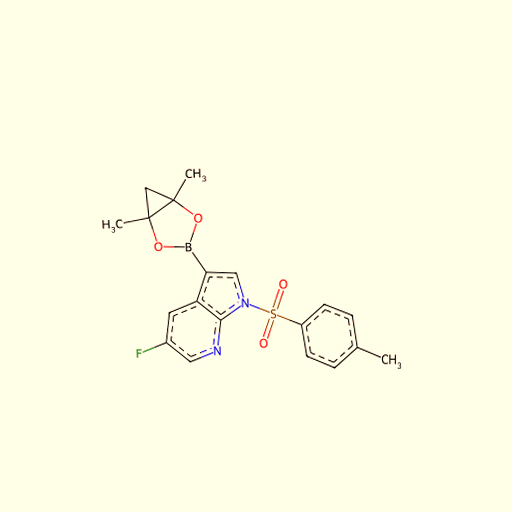 Cc1ccc(S(=O)(=O)n2cc(B3OC4(C)CC4(C)O3)c3cc(F)cnc32)cc1